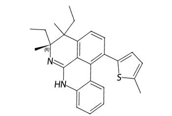 CCC1(C)c2ccc(-c3ccc(C)s3)c3c2C(=N[C@]1(C)CC)Nc1ccccc1-3